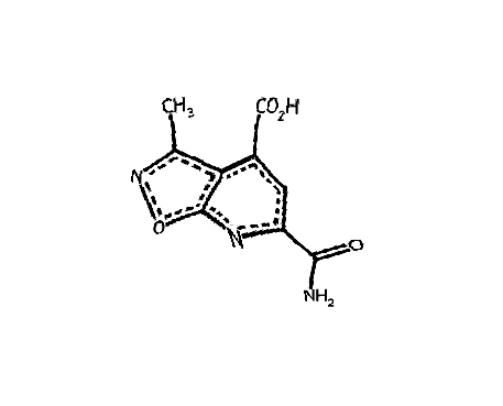 Cc1noc2nc(C(N)=O)cc(C(=O)O)c12